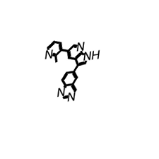 Cc1ncccc1-c1cnc2[nH]cc(-c3ccc4ncncc4c3)c2c1